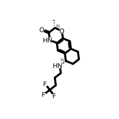 C[C@@H]1Oc2cc3c(cc2NC1=O)[C@@H](NCCCC(F)(F)F)CCC3